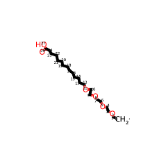 [CH2]COCCOCCOCCOCCCCCCCCCCCCCC(=O)O